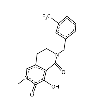 Cn1cc2c(c(O)c1=O)C(=O)N(Cc1cccc(C(F)(F)F)c1)CC2